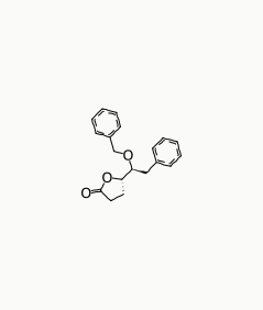 O=C1CC[C@@H]([C@H](Cc2ccccc2)OCc2ccccc2)O1